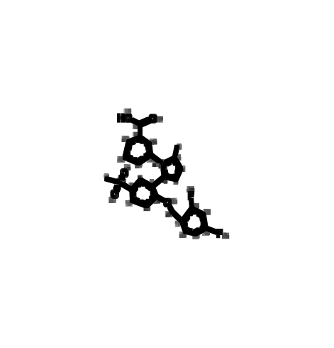 Cc1ccc(-c2cc(S(C)(=O)=O)ccc2OCc2ccc(F)cc2F)n1-c1cccc(C(=O)O)c1